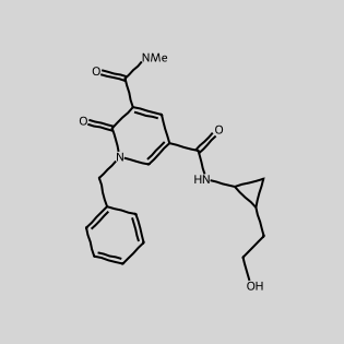 CNC(=O)c1cc(C(=O)NC2CC2CCO)cn(Cc2ccccc2)c1=O